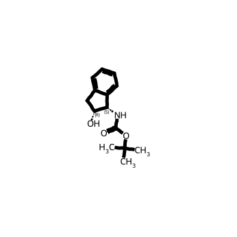 CC(C)(C)OC(=O)N[C@H]1c2ccccc2C[C@H]1O